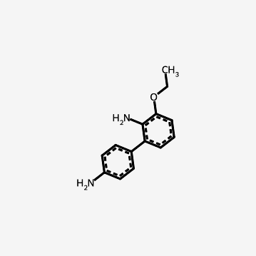 CCOc1cccc(-c2ccc(N)cc2)c1N